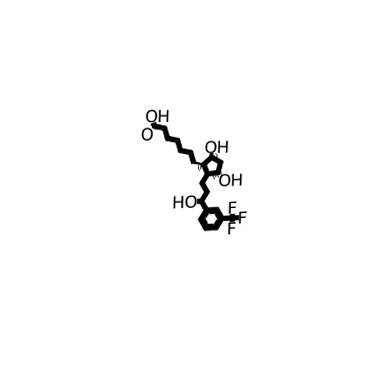 O=C(O)CCCCCC[C@@H]1C(CCC(O)c2cccc(C(F)(F)F)c2)[C@H](O)C[C@@H]1O